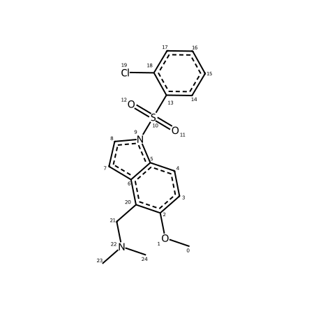 COc1ccc2c(ccn2S(=O)(=O)c2ccccc2Cl)c1CN(C)C